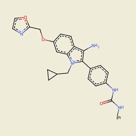 CC(C)NC(=O)Nc1ccc(-c2c(N)c3ccc(OCc4ncco4)cc3n2CC2CC2)cc1